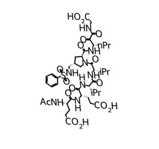 CCC[C@H](NC(=O)[C@@H]1C[C@@H](CNS(=O)(=O)c2ccccc2)CN1C(=O)[C@@H](NC(=O)[C@@H](NC(=O)[C@H](CCC(=O)O)NC(=O)[C@H](CCC(=O)O)NC(C)=O)C(C)C)C(C)C)C(=O)C(=O)NCC(=O)O